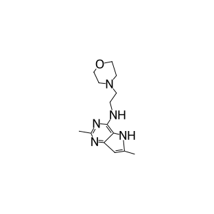 Cc1nc(NCCN2CCOCC2)c2[nH]c(C)cc2n1